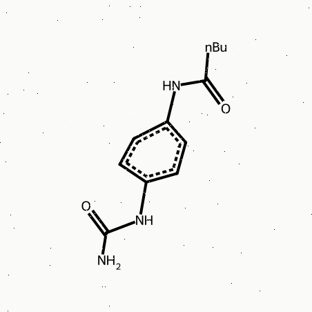 CCCCC(=O)Nc1ccc(NC(N)=O)cc1